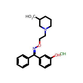 Cl.O=C(O)C1CCCN(CCON=C(c2ccccc2)c2cccc(O)c2)C1